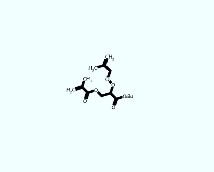 C=C(C)COOC(COC(=O)C(=C)C)C(=O)OCC(C)C